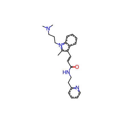 Cc1c(C=CC(=O)NCCc2ccccn2)c2ccccc2n1CCCN(C)C